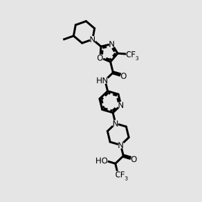 CC1CCCN(c2nc(C(F)(F)F)c(C(=O)Nc3ccc(N4CCN(C(=O)C(O)C(F)(F)F)CC4)nc3)o2)C1